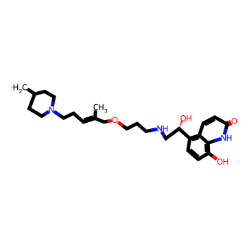 [CH2]C1CCN(CC/C=C(\C)COCCCNC[C@H](O)c2ccc(O)c3[nH]c(=O)ccc23)CC1